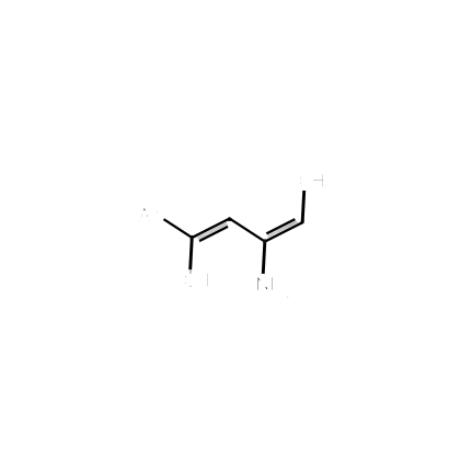 C/C=C(N)\C=C(/C)C(C)=O